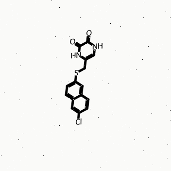 O=c1[nH]cc(CSc2ccc3cc(Cl)ccc3c2)[nH]c1=O